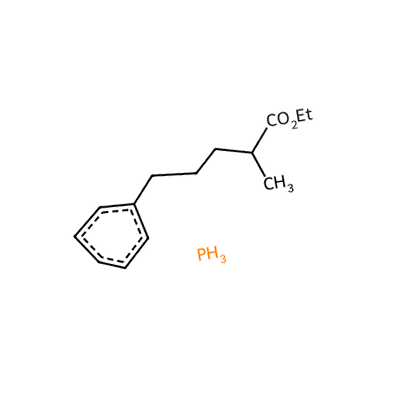 CCOC(=O)C(C)CCCc1ccccc1.P